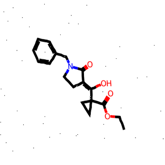 CCOC(=O)C1(C(O)=C2CCN(Cc3ccccc3)C2=O)CC1